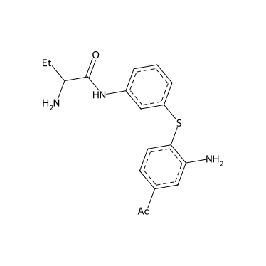 CCC(N)C(=O)Nc1cccc(Sc2ccc(C(C)=O)cc2N)c1